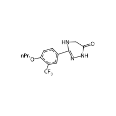 CCCOc1ccc(C2=NNC(=O)CN2)cc1C(F)(F)F